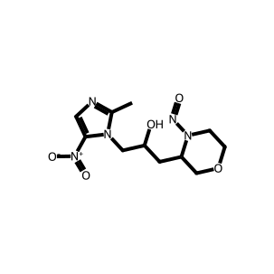 Cc1ncc([N+](=O)[O-])n1CC(O)CC1COCCN1N=O